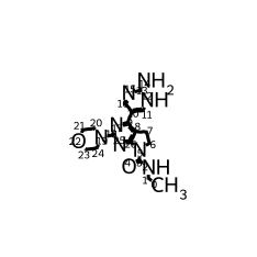 CCNC(=O)N1CCc2c(C3=CNC(N)N=C3)nc(N3CCOCC3)nc21